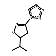 CC(C)C1CC(n2ccnn2)=NO1